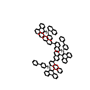 c1ccc(-c2ccc(N(c3ccc(-c4ccc5c(-c6c(N(c7cccc(-c8ccccc8)c7)c7cccc8c(-c9ccc%10ccc(-c%11c(N(c%12ccccc%12-c%12ccccc%12)c%12cccc%13ccccc%12%13)c%12ccccc%12c%12ccccc%11%12)cc%10c9)cccc78)c7ccccc7c7ccccc67)cccc5c4)c4ccccc34)c3c(-c4cccc5ccccc45)c4ccccc4c4ccccc34)cc2)cc1